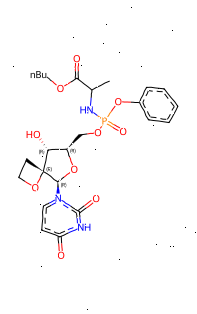 CCCCOC(=O)C(C)NP(=O)(OC[C@H]1O[C@@H](n2ccc(=O)[nH]c2=O)[C@@]2(CCO2)[C@@H]1O)Oc1ccccc1